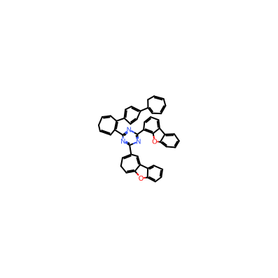 C1=CC=C(c2ccc(C3=C(c4nc(C5=CCC=c6oc7ccccc7c6=C5)nc(-c5cccc6c5oc5ccccc56)n4)C=CCC=C3)cc2)CC=C1